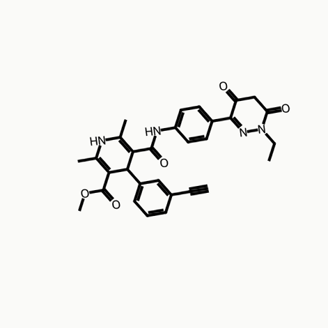 C#Cc1cccc(C2C(C(=O)Nc3ccc(C4=NN(CC)C(=O)CC4=O)cc3)=C(C)NC(C)=C2C(=O)OC)c1